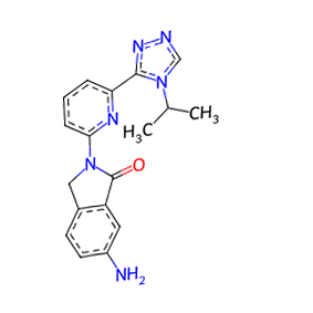 CC(C)n1cnnc1-c1cccc(N2Cc3ccc(N)cc3C2=O)n1